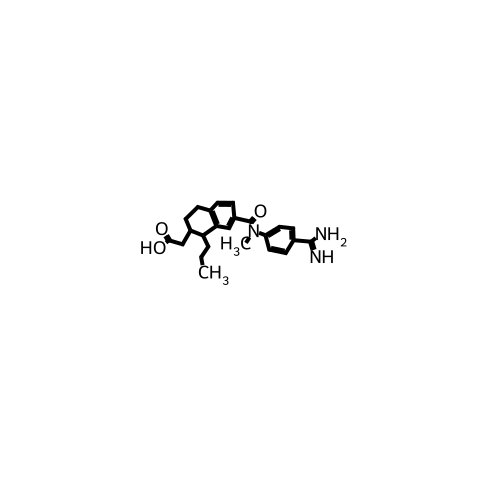 CCCC1c2cc(C(=O)N(C)c3ccc(C(=N)N)cc3)ccc2CCC1CC(=O)O